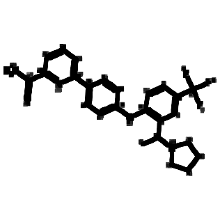 CC(c1cc(C(F)(F)F)ccc1Oc1ccc(-c2cccc(C(N)=O)n2)cc1)N1CCCC1